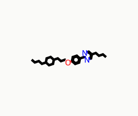 CCCCc1cnc(-c2ccc(OCCCC3CCC(CCCC)CC3)cc2)nc1